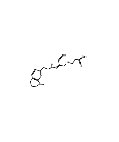 CN1CCCc2ccc(CCN/C=C(\C=N)CNCCC(=O)O)nc21